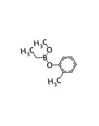 CCB(OC)Oc1ccccc1C